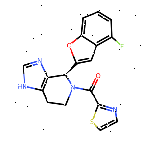 O=C(c1nccs1)N1CCc2[nH]cnc2[C@H]1c1cc2c(F)cccc2o1